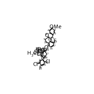 COc1ccc(CN2C(=O)CCc3c(OC[C@]4(O)CCN(c5cc(Cl)c(F)cc5Cl)C[C@H]4O[Si](C)(C)C(C)(C)C)ccc(F)c32)cc1